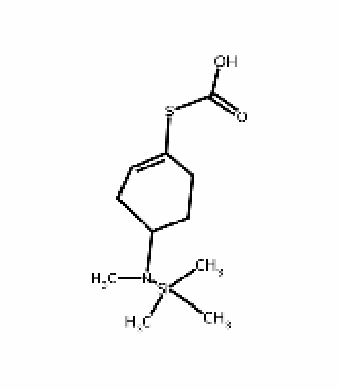 CN(C1CC=C(SC(=O)O)CC1)[Si](C)(C)C